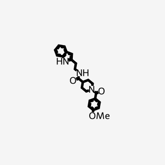 COc1ccc(C(=O)N2CCC(C(=O)NCCc3cc4ccccc4[nH]3)CC2)cc1